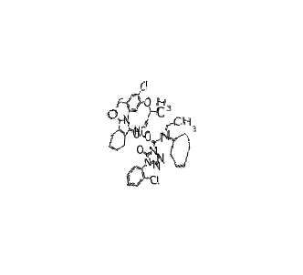 C#CC(C)Oc1cc(N2C(=O)C3=C(CCCC3)C2=O)c(F)cc1Cl.CCN(C(=O)n1nnn(-c2ccccc2Cl)c1=O)C1CCCCC1